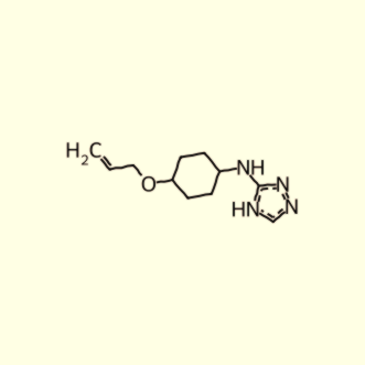 C=CCOC1CCC(Nc2nnc[nH]2)CC1